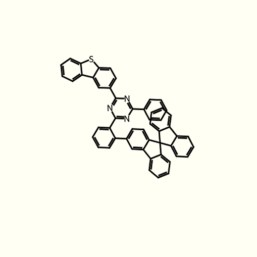 c1ccc(-c2nc(-c3ccc4sc5ccccc5c4c3)nc(-c3ccccc3-c3ccc4c(c3)-c3ccccc3C43c4ccccc4-c4ccccc43)n2)cc1